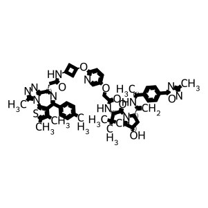 C=C(N[C@@H](C)c1ccc(-c2nc(C)no2)cc1)[C@@H]1C[C@@H](O)CN1C(=O)[C@@H](NC(=O)COc1ccc(O[C@H]2C[C@@H](NC(=O)C[C@@H]3N=C(c4ccc(C)cc4)c4c(sc(C)c4C)-n4c(C)nnc43)C2)nc1)C(C)(C)C